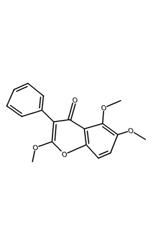 COc1ccc2oc(OC)c(-c3ccccc3)c(=O)c2c1OC